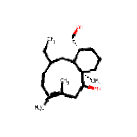 CCC1CC/C(C)=C(\C)CC(O)[C@]2(C)CCC[C@@H](CO)C2C1